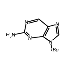 CC(C)(C)n1cnc2cnc(N)nc21